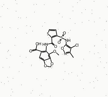 COc1c(NC(=O)c2sccc2S(=O)(=O)Nc2onc(C)c2Cl)c(C(=O)O)cc2c1OCO2